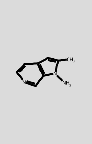 Cc1cc2ccncc2n1N